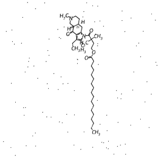 CCCCCCCCCCCCCCCCCC(=O)OCCC(C)(C)C(=O)n1c(C)c(CC)c2c1C[C@@H]1CCN(C)C[C@H]1C2=O